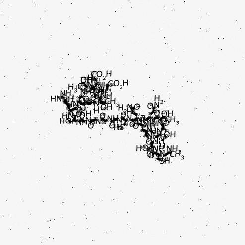 C[C@H](N)C(=O)N[C@@H](CS)C(=O)N[C@H](C(=O)NCC(=O)N[C@@H](CO)C(=O)N[C@H](C(=O)N[C@@H](CCC(N)=O)C(=O)N[C@@H](Cc1c[nH]cn1)C(=O)N[C@@H](CCC(N)=O)C(=O)N[C@@H](CS)C(=O)NCC(=O)NCC(=O)NCC(=O)NCC(=O)N[C@@H](CO)C(=O)N[C@@H](CCCNC(=N)N)C(=O)N[C@@H](CC(N)=O)C(=O)NCC(=O)N[C@H](C(=O)N[C@@H](CCC(=O)O)C(=O)N[C@@H](CCC(=O)O)C(=O)N[C@H](C(=O)O)[C@@H](C)O)[C@@H](C)O)[C@@H](C)O)[C@@H](C)O